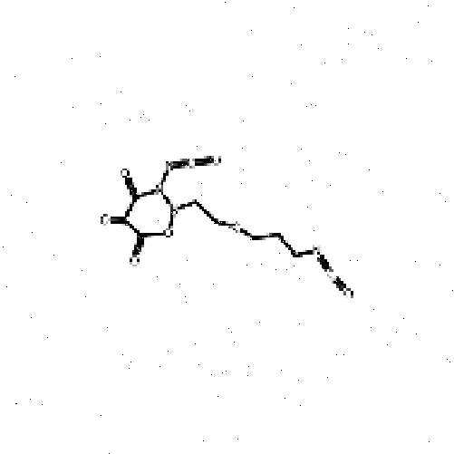 O=C=NCCCCCCn1oc(=O)c(=O)c(=O)n1N=C=O